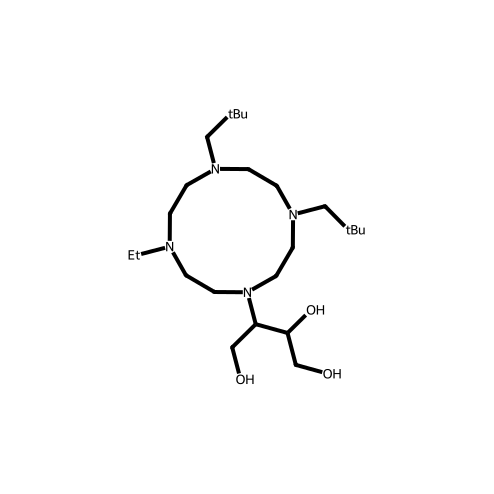 CCN1CCN(CC(C)(C)C)CCN(CC(C)(C)C)CCN(C(CO)C(O)CO)CC1